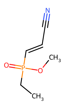 CCP(=O)(C=CC#N)OC